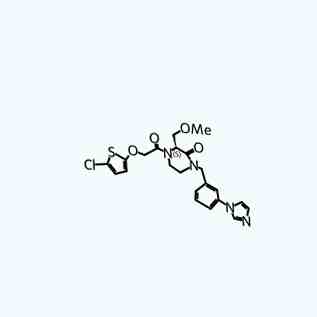 COC[C@H]1C(=O)N(Cc2cccc(-n3ccnc3)c2)CCN1C(=O)COc1ccc(Cl)s1